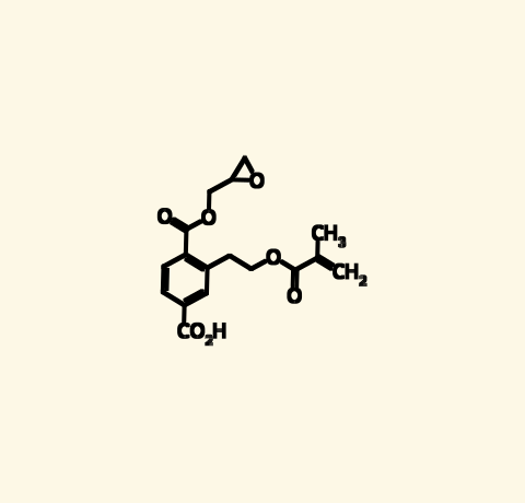 C=C(C)C(=O)OCCc1cc(C(=O)O)ccc1C(=O)OCC1CO1